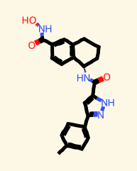 Cc1ccc(-c2cc(C(=O)N[C@H]3CCCc4cc(C(=O)NO)ccc43)[nH]n2)cc1